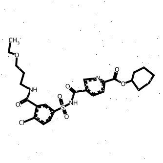 CCOCCCNC(=O)c1cc(S(=O)(=O)NC(=O)c2ccc(C(=O)OC3CCCCC3)nc2)ccc1Cl